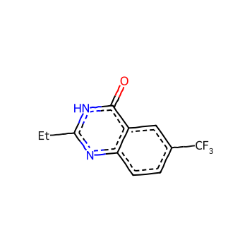 CCc1nc2ccc(C(F)(F)F)cc2c(=O)[nH]1